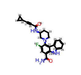 NC(=O)c1cc(F)c(N2CCCC(NC(=O)C#CC3CC3)C2)c2c1[nH]c1ccccc12